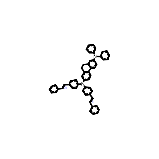 C(=C\c1ccc(N(c2ccc(/C=C/c3ccccc3)cc2)c2ccc3c(c2)CCc2cc(N(c4ccccc4)c4ccccc4)ccc2-3)cc1)/c1ccccc1